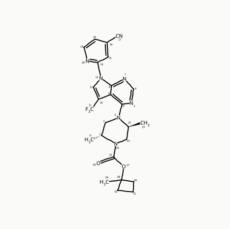 C[C@@H]1CN(c2ncnc3c2c(C(F)(F)F)cn3-c2cc(C#N)ccn2)[C@@H](C)CN1C(=O)OC1(C)CCC1